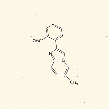 Cc1ccc2nc(-c3ccccc3C=O)cn2c1